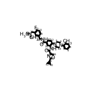 Cc1ccccc1N1CCN(c2ccc(C(=O)NCc3ccc(F)c(CN(C)C)c3)cc2NC(=O)c2coc(C3CC3)n2)CC1